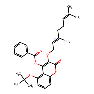 CC(C)=CCC/C(C)=C/COc1c(OC(=O)c2ccccc2)c2c(OC(C)(C)C)cccc2oc1=O